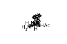 CC(=O)N[C@@H](Cc1ccc(-c2c3ccccc3cc3ccccc23)cc1)C(=O)N[C@@H](CCCCN)C(N)=O